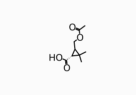 CC(=O)OCC1[C@@H](C(=O)O)C1(C)C